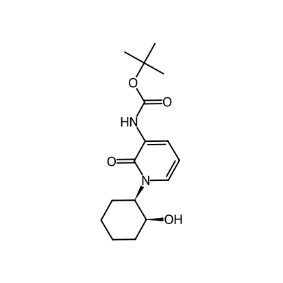 CC(C)(C)OC(=O)Nc1cccn([C@@H]2CCCC[C@@H]2O)c1=O